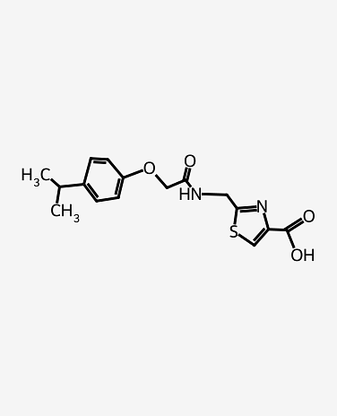 CC(C)c1ccc(OCC(=O)NCc2nc(C(=O)O)cs2)cc1